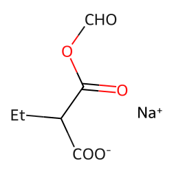 CCC(C(=O)[O-])C(=O)OC=O.[Na+]